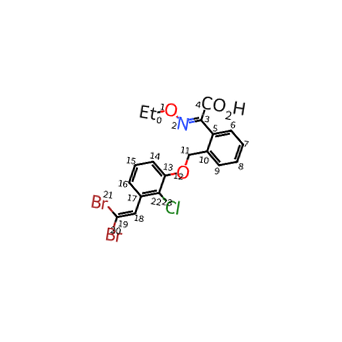 CCON=C(C(=O)O)c1ccccc1COc1cccc(C=C(Br)Br)c1Cl